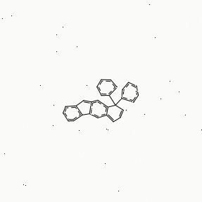 [C]1=CC=c2cc3c(cc2C1(c1ccccc1)c1ccccc1)=Cc1ccccc1-3